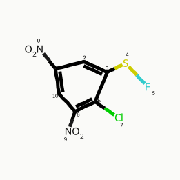 O=[N+]([O-])c1cc(SF)c(Cl)c([N+](=O)[O-])c1